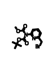 COC(=O)N(C(=O)OC(C)(C)C)c1cccc(CBr)n1